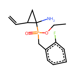 C=CC1CC1(N)P(=O)(Cc1ccccc1F)OCC